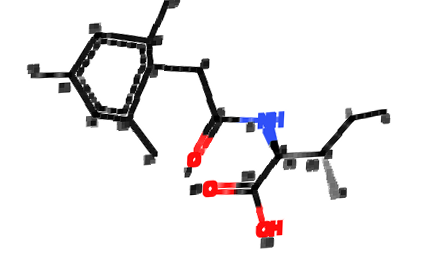 CC[C@H](C)[C@H](NC(=O)Cc1c(C)cc(C)cc1C)C(=O)O